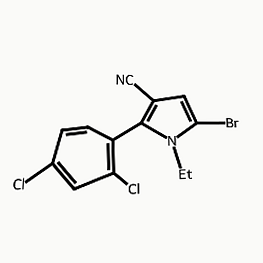 CCn1c(Br)cc(C#N)c1-c1ccc(Cl)cc1Cl